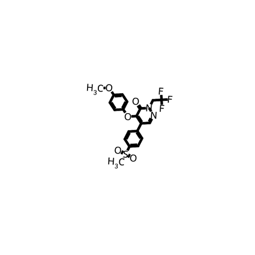 COc1ccc(Oc2c(-c3ccc(S(C)(=O)=O)cc3)cnn(CC(F)(F)F)c2=O)cc1